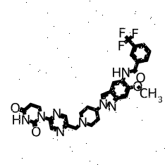 COc1cc2nn(C3CCN(Cc4cnc(N5CCC(=O)NC5=O)cn4)CC3)cc2cc1NC(=O)c1cccc(C(F)(F)F)c1